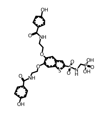 O=C(NCCOc1cc2cc(S(=O)(=O)NCP(=O)(O)O)sc2cc1OCCNC(=O)c1ccc(O)cc1)c1ccc(O)cc1